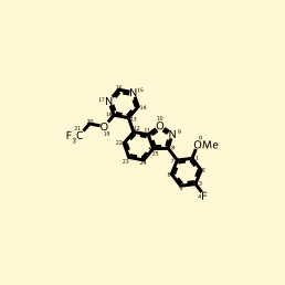 COc1cc(F)ccc1-c1noc2c(-c3cncnc3OCC(F)(F)F)cccc12